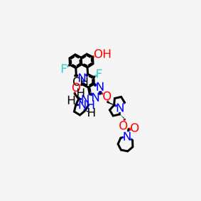 C#Cc1c(F)ccc2cc(O)cc(-c3nc4c5c(nc(OC[C@@]67CCCN6[C@H](COC(=O)N6CCCCCC6)CC7)nc5c3F)N3C[C@H]5CC[C@H](N5)[C@H]3CO4)c12